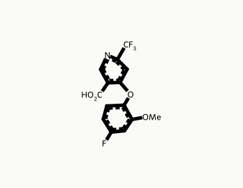 COc1cc(F)ccc1Oc1cc(C(F)(F)F)ncc1C(=O)O